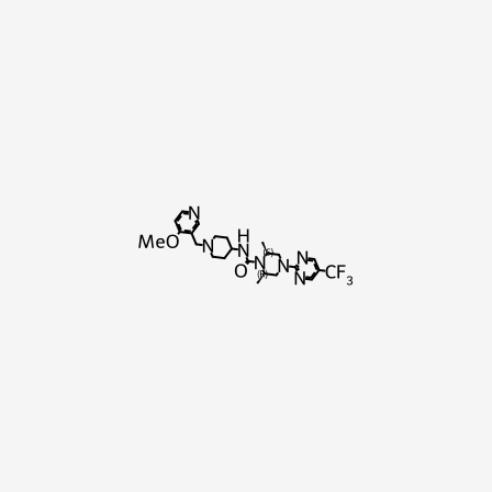 COc1ccncc1CN1CCC(NC(=O)N2[C@H](C)CN(c3ncc(C(F)(F)F)cn3)C[C@@H]2C)CC1